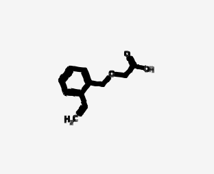 C=Cc1ccccc1COCC(=O)O